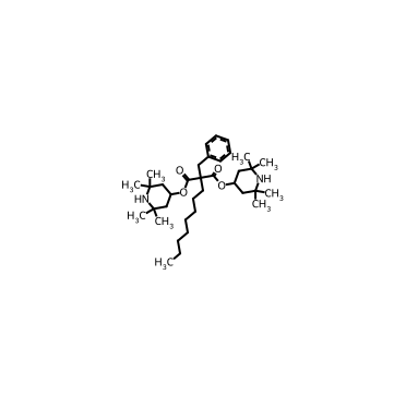 CCCCCCCCC(Cc1ccccc1)(C(=O)OC1CC(C)(C)NC(C)(C)C1)C(=O)OC1CC(C)(C)NC(C)(C)C1